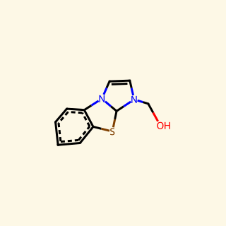 OCN1C=CN2c3ccccc3SC12